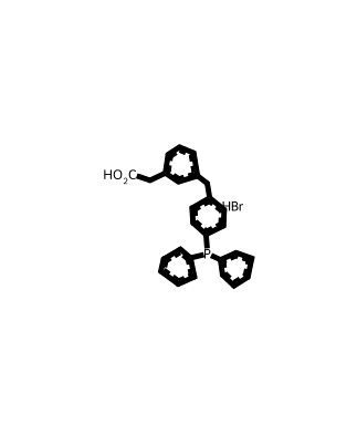 Br.O=C(O)Cc1cccc(Cc2ccc(P(c3ccccc3)c3ccccc3)cc2)c1